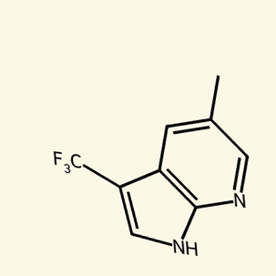 Cc1cnc2[nH]cc(C(F)(F)F)c2c1